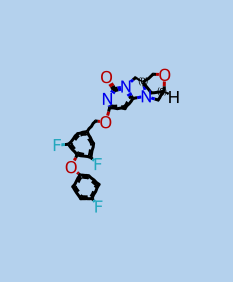 O=c1nc(OCc2cc(F)c(Oc3ccc(F)cc3)c(F)c2)cc2n1C[C@]13CO[C@H](CN21)C3